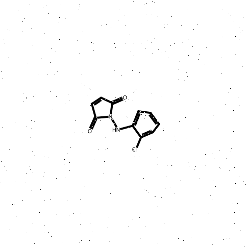 O=C1C=CC(=O)N1Nc1ccccc1Cl